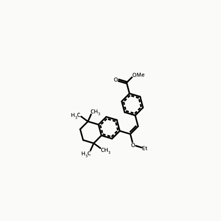 CCO/C(=C/c1ccc(C(=O)OC)cc1)c1ccc2c(c1)C(C)(C)CCC2(C)C